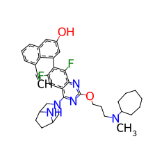 C#Cc1cccc2cc(O)cc(-c3c(F)cc4c(N5CC6CCC(C5)N6)nc(OCCCN(C)C5CCCCCC5)nc4c3F)c12